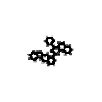 c1ccc(-c2nc(-c3cccc4cc5c(cc34)oc3ccccc35)nc3c2ccc2ccccc23)cc1